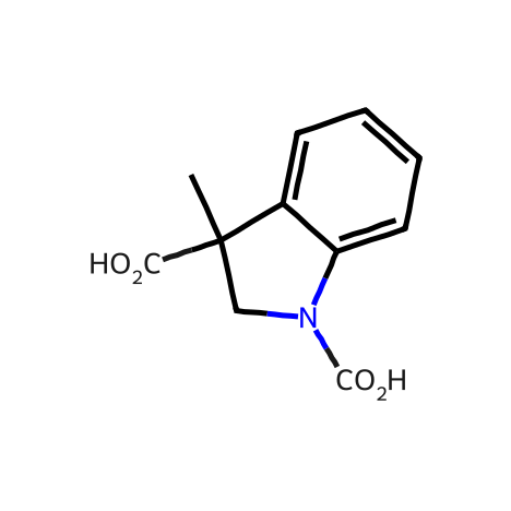 CC1(C(=O)O)CN(C(=O)O)c2ccccc21